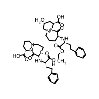 CCOC(=O)[C@H](CCc1ccccc1)N[C@H]1CCCN2CCC[C@@H](C(=O)O)N2C1=O.O.O=C(O)[C@H](CCc1ccccc1)N[C@H]1CCCN2CCC[C@@H](C(=O)O)N2C1=O